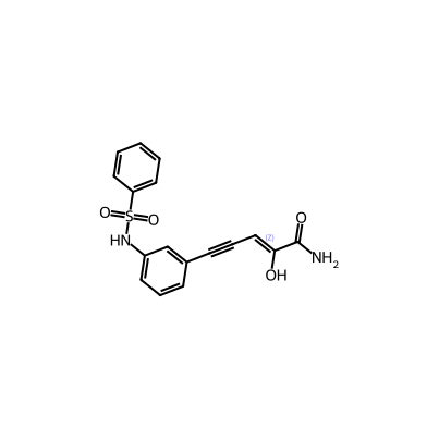 NC(=O)/C(O)=C/C#Cc1cccc(NS(=O)(=O)c2ccccc2)c1